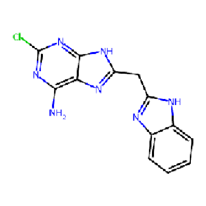 Nc1nc(Cl)nc2[nH]c(Cc3nc4ccccc4[nH]3)nc12